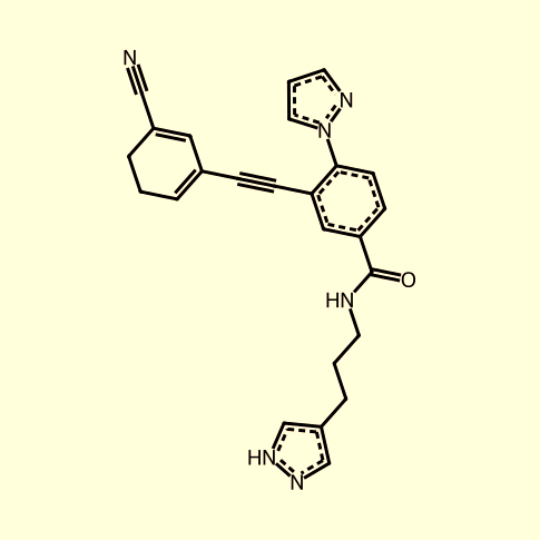 N#CC1=CC(C#Cc2cc(C(=O)NCCCc3cn[nH]c3)ccc2-n2cccn2)=CCC1